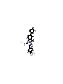 Cc1ccc(/C=C/c2nc3cc(-c4ccccc4)ccc3n2C)cc1